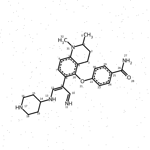 CC1CCc2c(ccc(/C(C=N)=C/NC3CCNCC3)c2Oc2ccc(C(N)=O)cc2)N1C